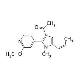 C/C=C\c1cc(C(C)=O)c(-c2ccnc(OC)c2)n1C